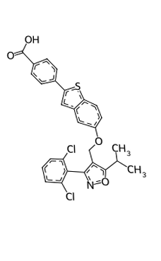 CC(C)c1onc(-c2c(Cl)cccc2Cl)c1COc1ccc2sc(-c3ccc(C(=O)O)cc3)cc2c1